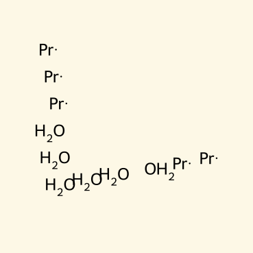 O.O.O.O.O.O.[Pr].[Pr].[Pr].[Pr].[Pr]